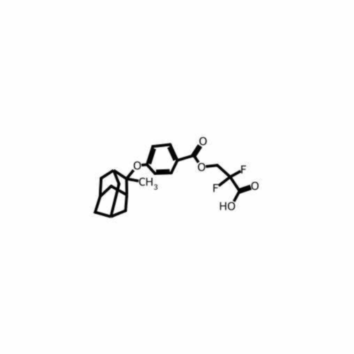 CC1(Oc2ccc(C(=O)OCC(F)(F)C(=O)O)cc2)C2CC3CC(C2)CC1C3